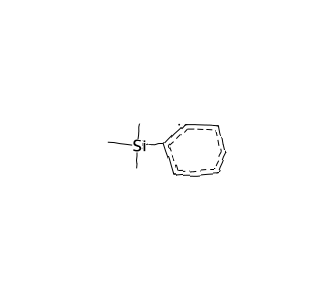 C[Si](C)(C)c1[c]cccc1